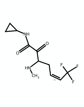 CNC(C/C=C\C(F)(F)F)C(=O)C(=O)NC1CC1